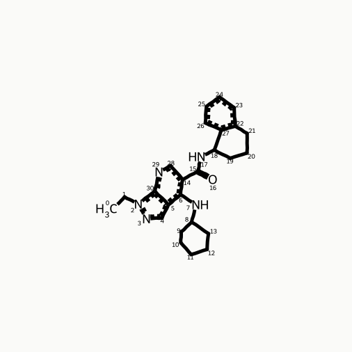 CCn1ncc2c(NC3CCCCC3)c(C(=O)NC3CCCc4ccccc43)cnc21